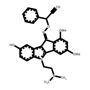 C#CC(O/N=C1\c2c(OC)cc(OC)cc2-c2c1c1cc(O)ccc1n2CCN(C)C)c1ccccc1